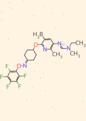 Bc1cc(/N=C/N(C)CC)c(C)nc1OC1CCC(=NOc2c(F)c(F)c(F)c(F)c2F)CC1